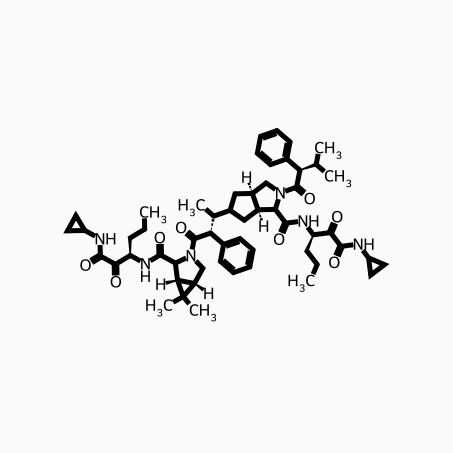 CCC[C@@H](NC(=O)C1[C@H]2CC(C(C)[C@@H](C(=O)N3C[C@H]4[C@@H](C3C(=O)N[C@H](CCC)C(=O)C(=O)NC3CC3)C4(C)C)c3ccccc3)C[C@H]2CN1C(=O)[C@@H](c1ccccc1)C(C)C)C(=O)C(=O)NC1CC1